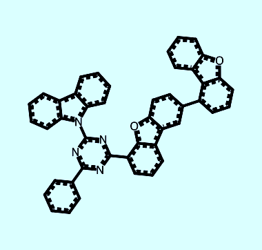 c1ccc(-c2nc(-c3cccc4c3oc3ccc(-c5cccc6oc7ccccc7c56)cc34)nc(-n3c4ccccc4c4ccccc43)n2)cc1